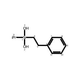 CC(C)[Si](O)(O)CCc1ccccc1